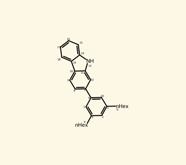 CCCCCCc1cc(CCCCCC)cc(-c2ccc3c(c2)[nH]c2ccccc23)c1